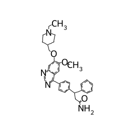 CCN1CCC(COc2cc3ncnc(-c4ccc(C(CC(N)=O)c5ccccc5)cc4)c3cc2OC)CC1